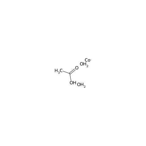 CC(=O)O.O.O.[Co]